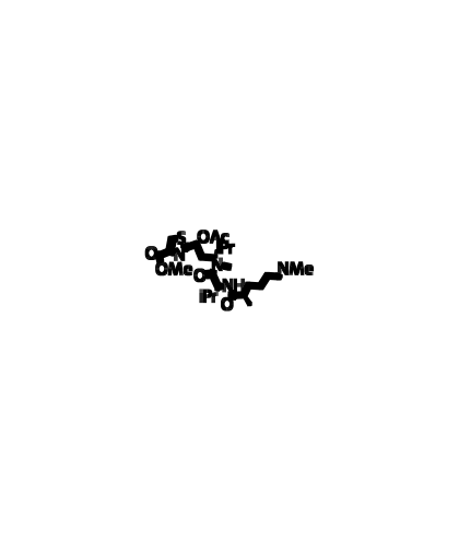 CNCCCC[C@@H](C)C(=O)N[C@H](C(=O)N(C)[C@H](C[C@@H](OC(C)=O)c1nc(C(=O)OC)cs1)C(C)C)C(C)C